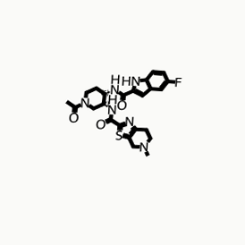 CC(=O)N1CC[C@H](NC(=O)C2=CC3C=C(F)C=CC3N2)[C@H](NC(=O)c2nc3c(s2)CN(C)CC3)C1